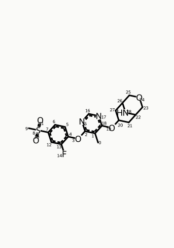 Cc1c(Oc2ccc(S(C)(=O)=O)cc2F)ncnc1OC1CC2COCC(C1)N2